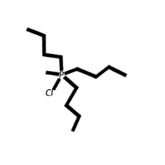 CCCCP(C)(Cl)(CCCC)CCCC